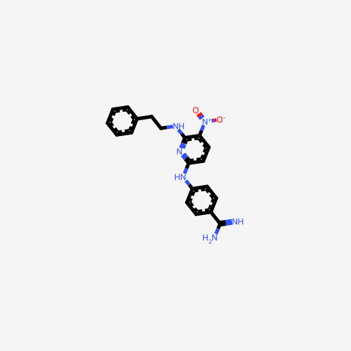 N=C(N)c1ccc(Nc2ccc([N+](=O)[O-])c(NCCc3ccccc3)n2)cc1